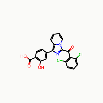 O=C(O)c1ccc(-c2nc(C(=O)c3c(Cl)cccc3Cl)n3ccccc23)cc1O